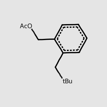 CC(=O)OCc1ccccc1CC(C)(C)C